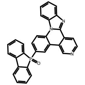 O=P1(c2ccc3c(c2)c2cnccc2c2nc4ccccc4n32)c2ccccc2-c2ccccc21